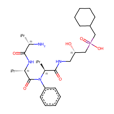 CC(C)[C@H](N)C(=O)N[C@H](C(=O)N(c1ccccc1)[C@H](C(=O)NC[C@H](O)CP(=O)(O)CC1CCCCC1)C(C)C)C(C)C